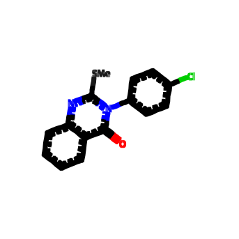 CSc1nc2ccccc2c(=O)n1-c1ccc(Cl)cc1